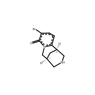 O=c1c(Br)ccc2n1C[C@@H]1CNC[C@H]2C1